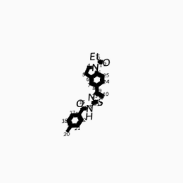 CCC(=O)N1CCc2cc(-c3csc(NC(=O)c4ccc(C)cc4)n3)ccc21